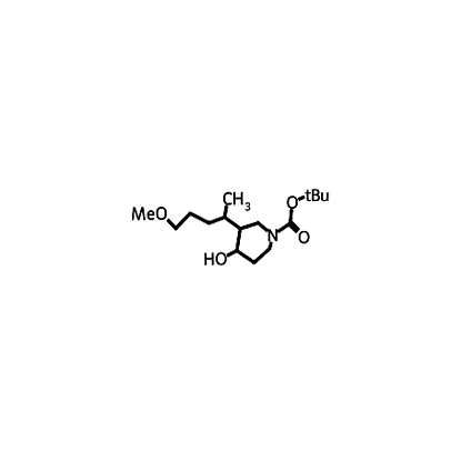 COCCCC(C)C1CN(C(=O)OC(C)(C)C)CCC1O